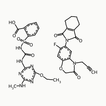 C#CCN1C(=O)COc2cc(F)c(N3C(=O)C4=C(CCCC4)C3=O)cc21.CCOc1nc(NC)nc(NC(=O)NS(=O)(=O)c2ccccc2C(=O)O)n1